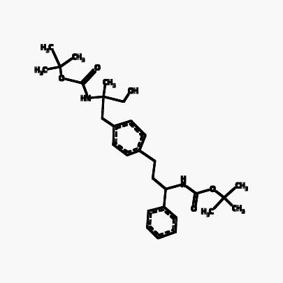 CC(CO)(Cc1ccc(CCC(NC(=O)OC(C)(C)C)c2ccccc2)cc1)NC(=O)OC(C)(C)C